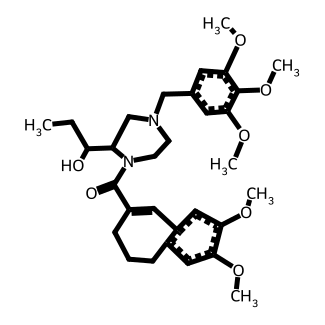 CCC(O)C1CN(Cc2cc(OC)c(OC)c(OC)c2)CCN1C(=O)C1=Cc2cc(OC)c(OC)cc2CCC1